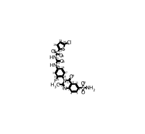 Cc1nc2ccc(S(N)(=O)=O)cc2c(=O)n1-c1ccc(NC(=O)NS(=O)(=O)c2ccc(Cl)s2)cc1F